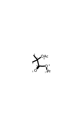 CC(=O)OC(C)(C)C(=O)OC(C)C